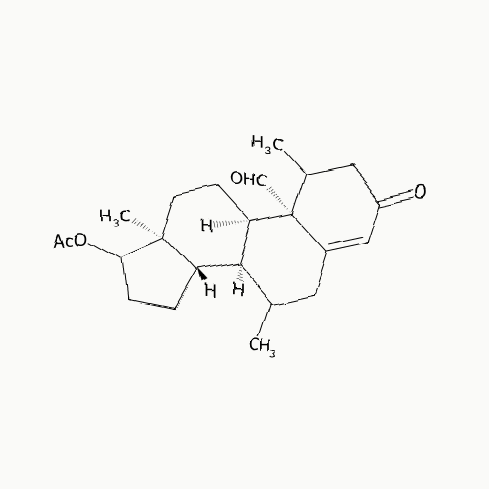 CC(=O)OC1CC[C@H]2[C@@H]3C(C)CC4=CC(=O)CC(C)[C@]4(C=O)[C@@H]3CC[C@]12C